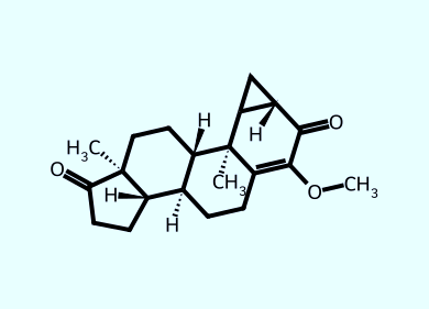 COC1=C2CC[C@H]3[C@@H]4CCC(=O)[C@@]4(C)CC[C@@H]3[C@@]2(C)C2C[C@@H]2C1=O